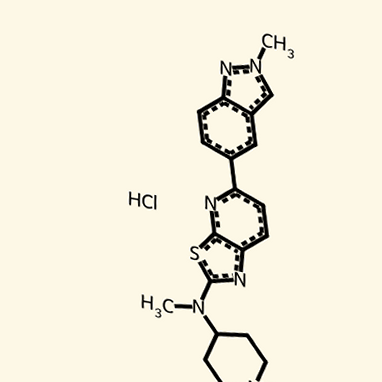 CN(c1nc2ccc(-c3ccc4nn(C)cc4c3)nc2s1)C1CCNCC1.Cl